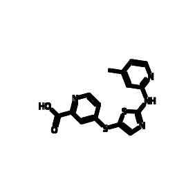 Cc1ccnc(Nc2ncc(Sc3ccnc(C(=O)O)c3)s2)c1